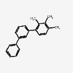 Cc1ccc(-c2cccc(-c3ccccc3)c2)c(C)c1C